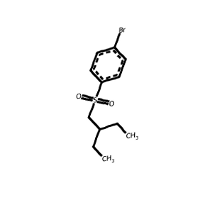 CCC(CC)CS(=O)(=O)c1ccc(Br)cc1